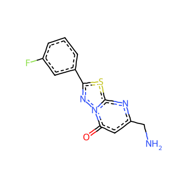 NCc1cc(=O)n2nc(-c3cccc(F)c3)sc2n1